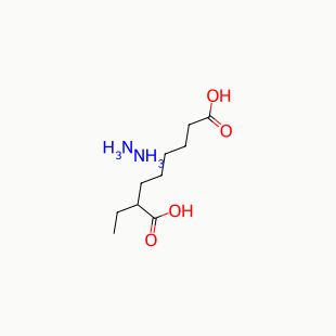 CCC(CCCCCC(=O)O)C(=O)O.N.N